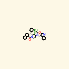 O=C(c1cccc2ccccc12)N1CC[C@H](N(Cc2ccnc3ccccc23)C(=O)C(F)(F)F)C[C@H]1Cc1ccccc1